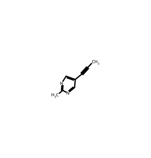 CC#Cc1cnc(C)nc1